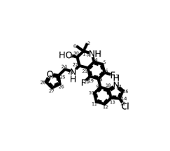 CC1(C)Nc2cc(F)c(-c3cccc4c(Cl)c[nH]c34)c(F)c2C(NCc2ccco2)C1O